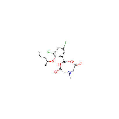 C=CC[C@H](C)Oc1c(F)cc(F)cc1B1OC(=O)CN(C)CC(=O)O1